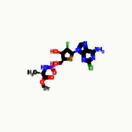 CC(C)OC(=O)[C@H](C)N[PH](=O)OC[C@H]1S[C@@H](n2cnc3c(N)nc(Cl)nc32)[C@@H](F)[C@@H]1O